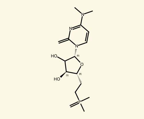 C=C1N=C(N(C)C)C=CN1[C@@H]1O[C@H](CCP(=C)(C)C)[C@@H](O)C1O